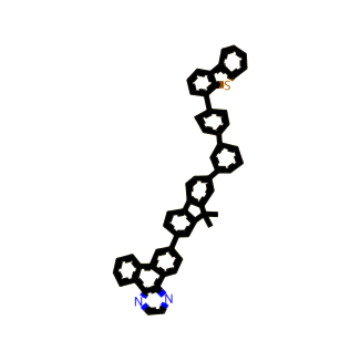 CC1(C)c2cc(-c3cccc(-c4ccc(-c5cccc6c5sc5ccccc56)cc4)c3)ccc2-c2ccc(-c3ccc4c(c3)c3ccccc3c3nccnc43)cc21